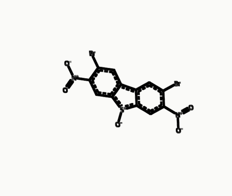 O=[N+]([O-])c1cc2c(cc1Br)c1cc(Br)c([N+](=O)[O-])cc1[s+]2[O-]